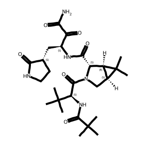 CC(C)(C)C(=O)N[C@H](C(=O)N1C[C@H]2[C@@H]([C@H]1C(=O)N[C@@H](C[C@@H]1CCNC1=O)C(=O)C(N)=O)C2(C)C)C(C)(C)C